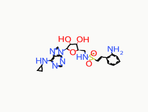 Nc1ccccc1/C=C/S(=O)(=O)NC[C@H]1O[C@@H](n2cnc3c(NC4CC4)ncnc32)[C@H](O)[C@@H]1O